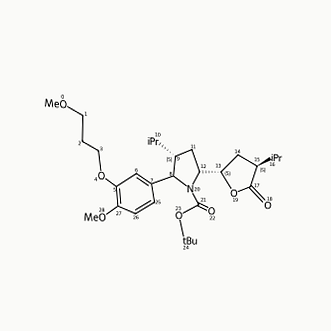 COCCCOc1cc(C2[C@H](C(C)C)CC([C@@H]3C[C@@H](C(C)C)C(=O)O3)N2C(=O)OC(C)(C)C)ccc1OC